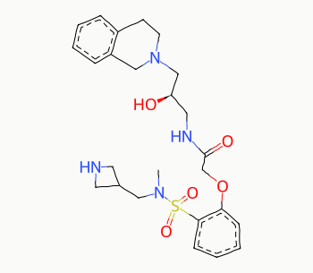 CN(CC1CNC1)S(=O)(=O)c1ccccc1OCC(=O)NC[C@@H](O)CN1CCc2ccccc2C1